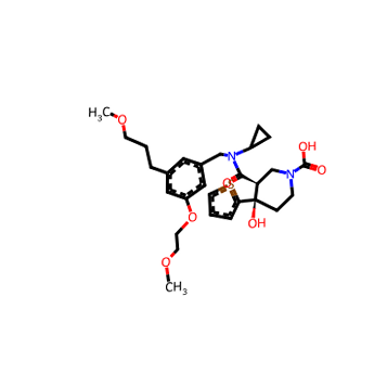 COCCCc1cc(CN(C(=O)[C@H]2CN(C(=O)O)CC[C@]2(O)c2cccs2)C2CC2)cc(OCCOC)c1